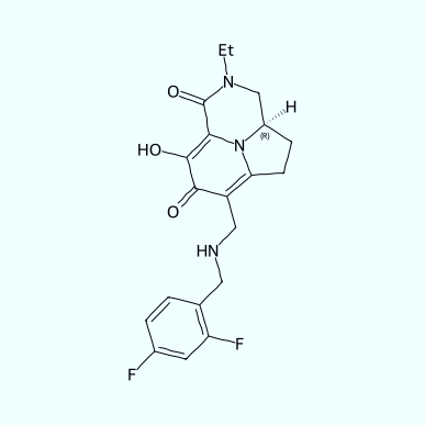 CCN1C[C@H]2CCc3c(CNCc4ccc(F)cc4F)c(=O)c(O)c(n32)C1=O